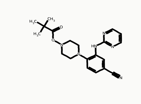 CC(C)(C)C(=O)ON1CCN(c2ccc(C#N)cc2Nc2ncccn2)CC1